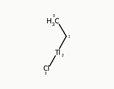 C[CH2][Tl][Cl]